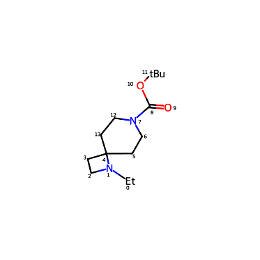 CCN1CCC12CCN(C(=O)OC(C)(C)C)CC2